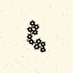 c1ccc2c(c1)c1ccccc1n2-c1cccc2c1c1ccccc1n2-c1ccc2sc3ccc(-n4c5ccccc5c5c(-n6c7ccccc7c7ccccc76)cccc54)cc3c2c1